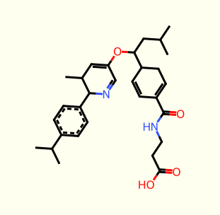 CC(C)CC(OC1=CC(C)C(c2ccc(C(C)C)cc2)N=C1)C1C=CC(C(=O)NCCC(=O)O)=CC1